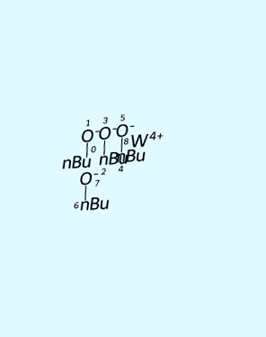 CCCC[O-].CCCC[O-].CCCC[O-].CCCC[O-].[W+4]